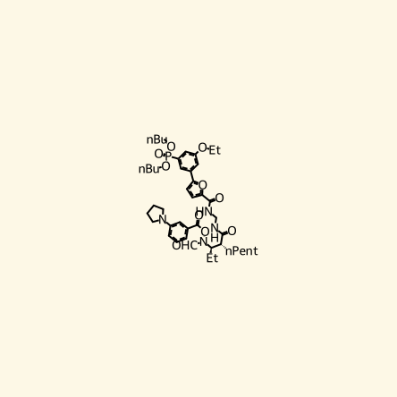 CCCCC[C@@H](C(=O)NCNC(=O)c1ccc(-c2cc(OCC)cc(P(=O)(OCCCC)OCCCC)c2)o1)[C@@H](CC)N(C=O)OC(=O)c1cccc(N2CCCC2)c1